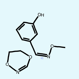 C1=NOCCO1.CO/N=C\c1cccc(O)c1